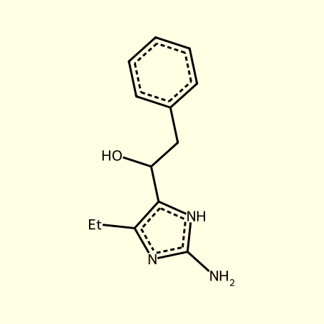 CCc1nc(N)[nH]c1C(O)Cc1ccccc1